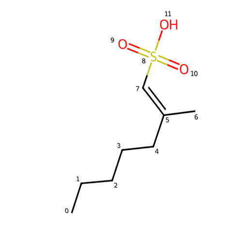 CCCCCC(C)=CS(=O)(=O)O